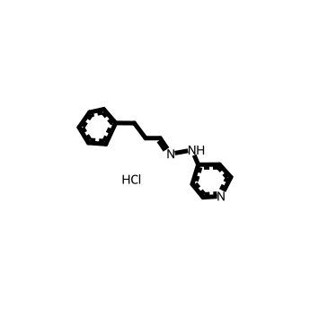 C(CCc1ccccc1)=NNc1ccncc1.Cl